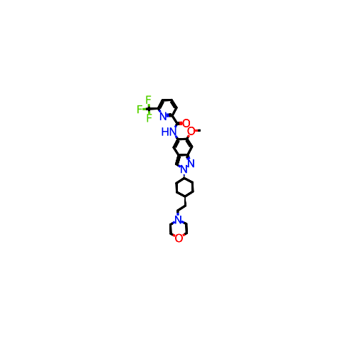 COc1cc2nn([C@H]3CC[C@H](CCN4CCOCC4)CC3)cc2cc1NC(=O)c1cccc(C(F)(F)F)n1